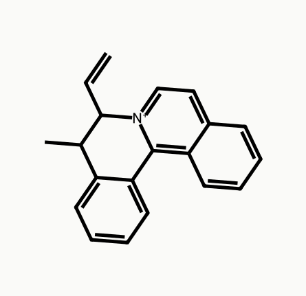 C=CC1C(C)c2ccccc2-c2c3ccccc3cc[n+]21